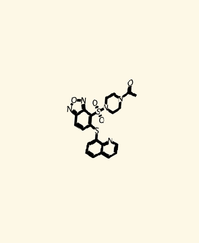 CC(=O)N1CCN(S(=O)(=O)c2c(Sc3cccc4cccnc34)ccc3nonc23)CC1